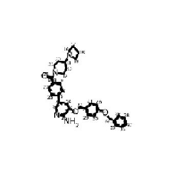 Nc1ncc(-c2ccc(C(=O)N3CCC(N4CCCC4)CC3)cc2)cc1OCc1ccc(OCc2ccccc2)cc1